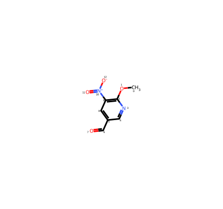 COc1ncc(C=O)cc1[N+](=O)[O-]